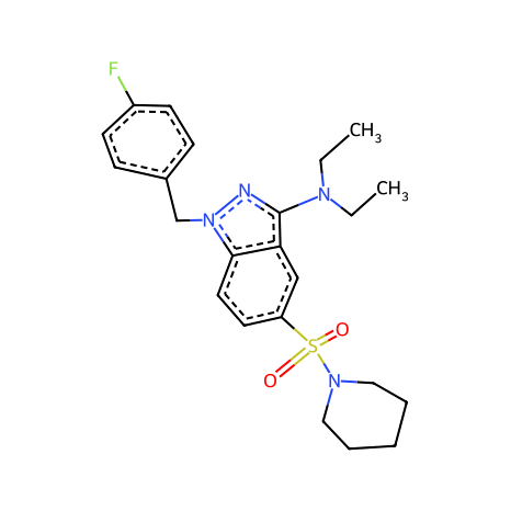 CCN(CC)c1nn(Cc2ccc(F)cc2)c2ccc(S(=O)(=O)N3CCCCC3)cc12